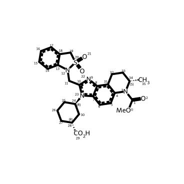 COC(=O)N1c2ccc3c(nc(CN4c5ccccc5CS4(=O)=O)n3[C@@H]3CCC[C@@H](C(=O)O)C3)c2CC[C@@H]1C